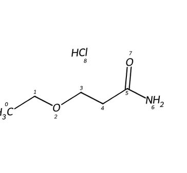 CCOCCC(N)=O.Cl